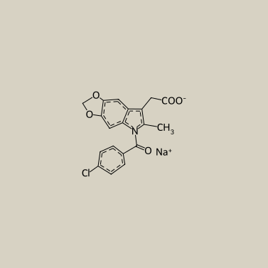 Cc1c(CC(=O)[O-])c2cc3c(cc2n1C(=O)c1ccc(Cl)cc1)OCO3.[Na+]